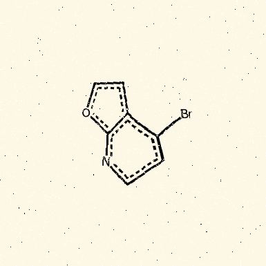 Brc1ccnc2occc12